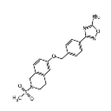 CC(C)(C)c1nc(-c2ccc(COc3ccc4c(c3)CCN(S(C)(=O)=O)C4)cc2)no1